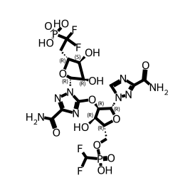 NC(=O)c1ncn([C@@H]2O[C@H](COP(=O)(O)C(F)F)[C@@H](O)[C@H]2Oc2nc(C(N)=O)nn2[C@@H]2O[C@H](CC(F)(F)P(=O)(O)O)[C@@H](O)[C@H]2O)n1